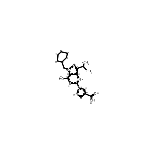 CC(C)c1nn(CC2CCCCC2)c2c(O)nc(-n3cc(C(=O)O)cn3)nc12